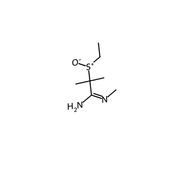 CC[S+]([O-])C(C)(C)/C(N)=N\C